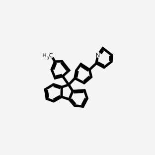 Cc1ccc(C2(c3ccc(-c4ccccn4)cc3)c3ccccc3-c3ccccc32)cc1